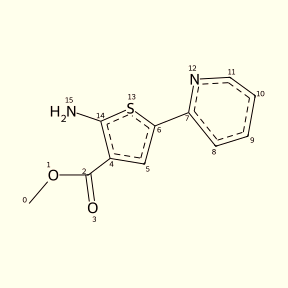 COC(=O)c1cc(-c2ccccn2)sc1N